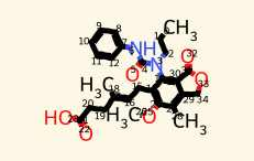 CCCN(C(=O)Nc1ccccc1)c1c(C/C=C(\C)CCC(=O)O)c(OC)c(C)c2c1C(=O)OC2